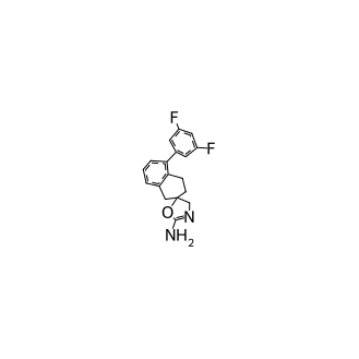 NC1=NCC2(CCc3c(cccc3-c3cc(F)cc(F)c3)C2)O1